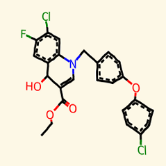 CCOC(=O)C1=CN(Cc2ccc(Oc3ccc(Cl)cc3)cc2)c2cc(Cl)c(F)cc2C1O